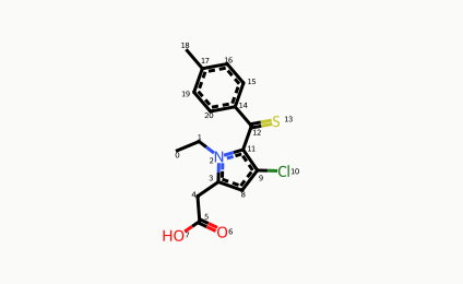 CCn1c(CC(=O)O)cc(Cl)c1C(=S)c1ccc(C)cc1